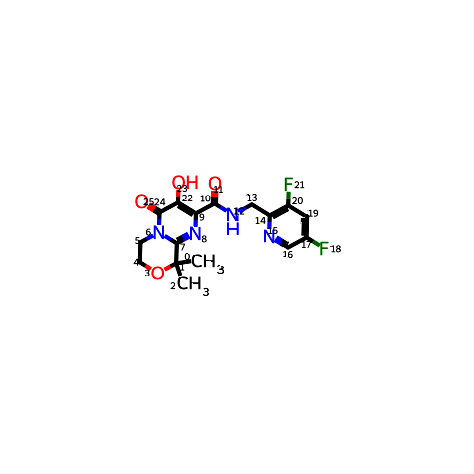 CC1(C)OCCn2c1nc(C(=O)NCc1ncc(F)cc1F)c(O)c2=O